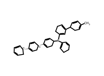 CC1=CCC(C2=CCCC(N(C3=CCCC=C3)C3C=CC([C@H]4C=CC([C@H]5C=CC=CC5)=CC4)=CC3)=C2)C=C1